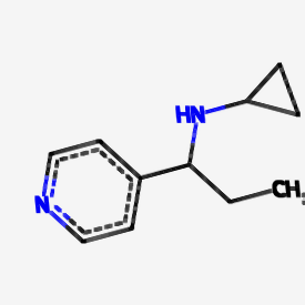 CCC(NC1CC1)c1ccncc1